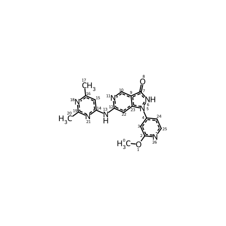 COc1cc(-n2[nH]c(=O)c3cnc(Nc4cc(C)nc(C)n4)cc32)ccn1